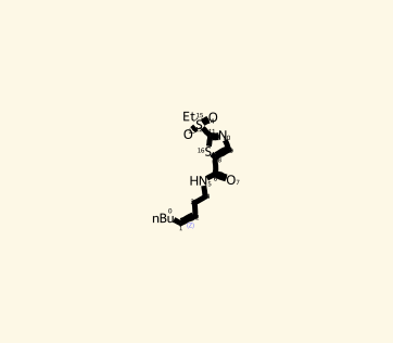 CCCC/C=C\CCNC(=O)c1cnc(S(=O)(=O)CC)s1